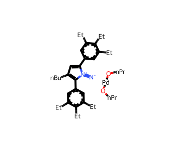 CCCCC1=C(c2cc(CC)c(CC)c(CC)c2)[N+](=[N-])C(c2cc(CC)c(CC)c(CC)c2)=C1.CCC[O][Pd][O]CCC